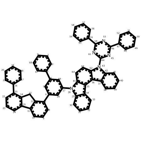 c1ccc(-c2cc(-c3cccc4c3Cc3c(-c5ccccc5)cccc3-4)cc(-n3c4ccccc4c4c5c6ccccc6n(-c6nc(-c7ccccc7)nc(-c7ccccc7)n6)c5ccc43)c2)cc1